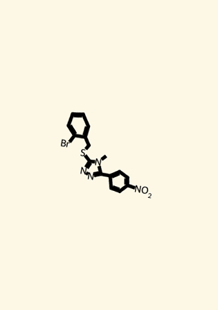 Cn1c(SCc2ccccc2Br)nnc1-c1ccc([N+](=O)[O-])cc1